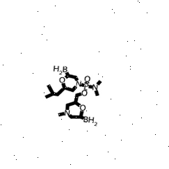 BC1CN(C)CC(COP(=O)(N(C)C)N2CC(B)OC(CC(C)C)C2)O1